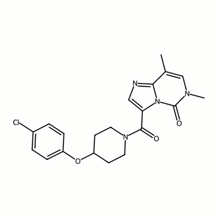 Cc1cn(C)c(=O)n2c(C(=O)N3CCC(Oc4ccc(Cl)cc4)CC3)cnc12